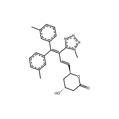 Cc1cccc(C(=C(C=C[C@@H]2C[C@@H](O)CC(=O)O2)c2nnnn2C)c2cccc(C)c2)c1